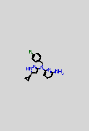 Nc1cccc(N(Cc2ccc(F)cc2)c2cc(C3CC3)[nH]n2)n1